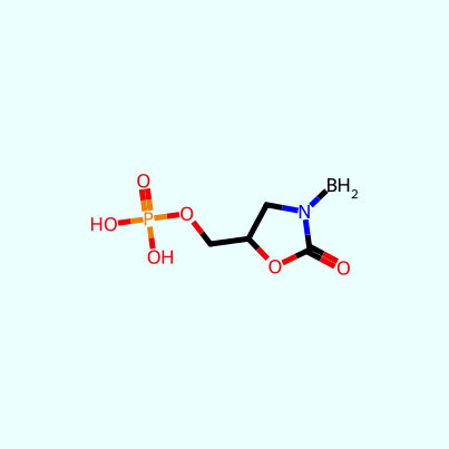 BN1CC(COP(=O)(O)O)OC1=O